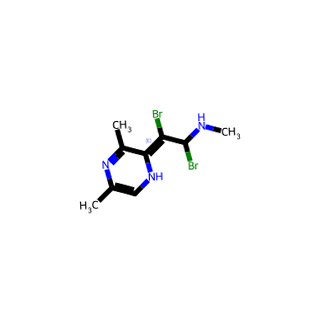 CNC(Br)/C(Br)=C1\NC=C(C)N=C1C